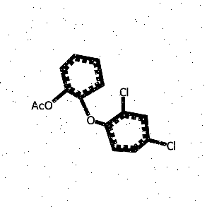 CC(=O)Oc1ccccc1Oc1ccc(Cl)cc1Cl